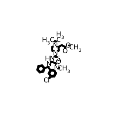 COC(=O)CC1CN(C(=S)NC2N=C(c3ccccc3)c3cc(Cl)ccc3N(C)C2=O)CCN1C(C)C